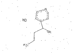 CCCC(O)c1ccncc1.Cl